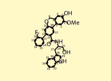 COc1cc2c(cc1O)COc1cc(-c3ccccc3F)c(C(=O)NC(CO)Cc3c[nH]c4ccccc34)cc1-2